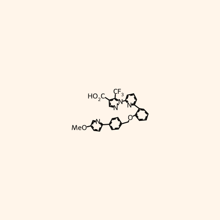 COc1ccc(-c2ccc(COc3ccccc3-c3cccc(-n4ncc(C(=O)O)c4C(F)(F)F)n3)cc2)nc1